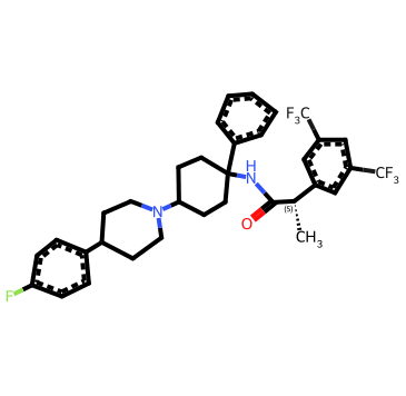 C[C@H](C(=O)NC1(c2ccccc2)CCC(N2CCC(c3ccc(F)cc3)CC2)CC1)c1cc(C(F)(F)F)cc(C(F)(F)F)c1